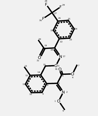 CO/N=C(/C(=O)OC)c1cccc(C)c1CO/N=C(\C(C)=O)c1cccc(C(F)(F)F)c1